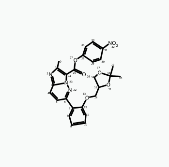 Cc1nc2ccc(-c3ccccc3OCC3COC(C)(C)O3)nn2c1C(=O)Oc1ccc([N+](=O)[O-])cc1